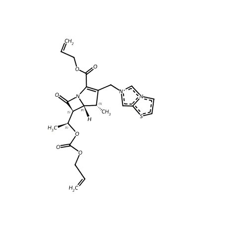 C=CCOC(=O)O[C@@H](C)[C@H]1C(=O)N2C(C(=O)OCC=C)=C(C[n+]3cc4sccn4c3)[C@H](C)[C@H]12